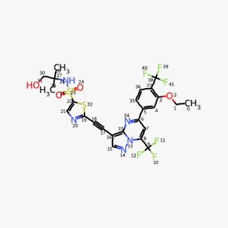 CCOc1cc(-c2cc(C(F)(F)F)n3ncc(C#Cc4ncc(S(=O)(=O)NC(C)(C)CO)s4)c3n2)ccc1C(F)(F)F